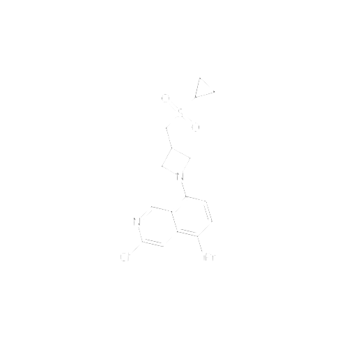 CC(C)c1ccc(N2CC(CS(=O)(=O)C3CC3)C2)c2cnc(Cl)cc12